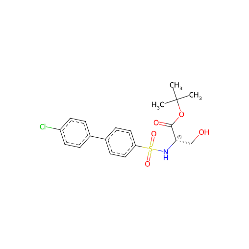 CC(C)(C)OC(=O)[C@H](CO)NS(=O)(=O)c1ccc(-c2ccc(Cl)cc2)cc1